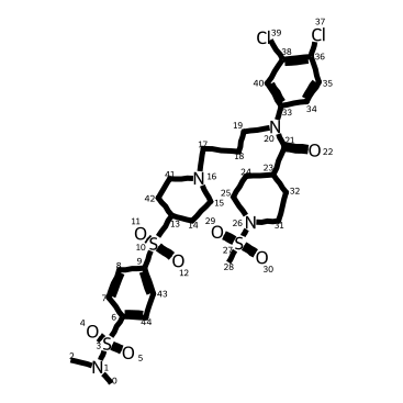 CN(C)S(=O)(=O)c1ccc(S(=O)(=O)C2CCN(CCCN(C(=O)C3CCN(S(C)(=O)=O)CC3)c3ccc(Cl)c(Cl)c3)CC2)cc1